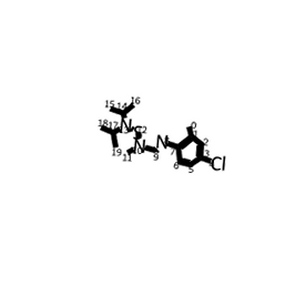 Cc1cc(Cl)ccc1N=CN(C)SN(C(C)C)C(C)C